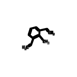 C=[C]c1cccc(C=C)c1C